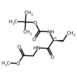 CC[C@H](NC(=O)OC(C)(C)C)C(=O)NCC(=O)OC